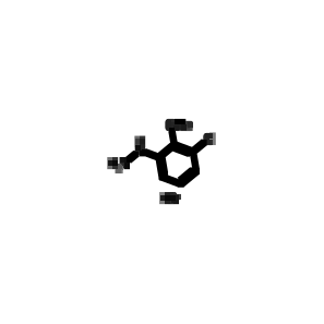 Br.COc1c(Cl)cccc1NN